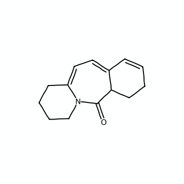 O=C1C2CCC=CC2=CC=C2CCCCN12